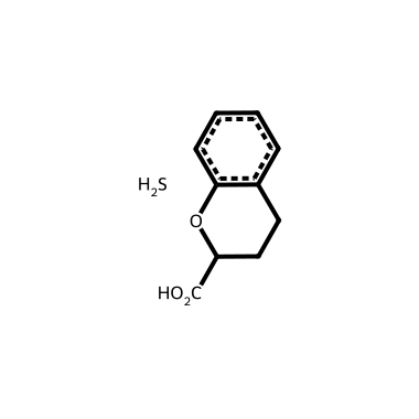 O=C(O)C1CCc2ccccc2O1.S